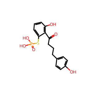 O=C(CCCc1ccc(O)cc1)c1c(O)cccc1SP(=O)(O)O